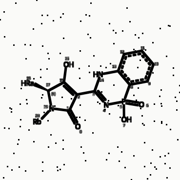 O=C1C(C2=NP(=O)(O)c3ccccc3N2)=C(O)[C@H]([RaH])[N]1[Rb]